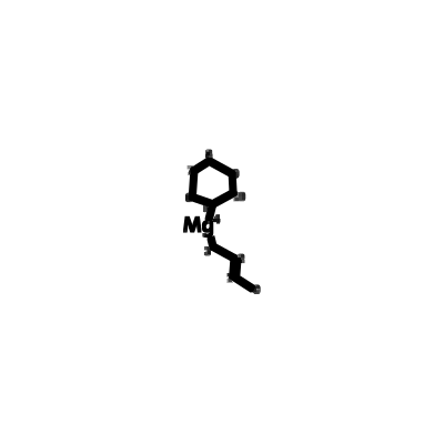 CC=C[CH2][Mg][CH]1CCCCC1